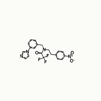 O=C(N(CCc1ccc([N+](=O)[O-])cc1)Cc1cccc(-n2ccnc2)c1)C(F)(F)F